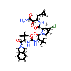 CC(C)(C)[C@H](NC(=O)N[C@H](C(=O)N1C[C@@H]2C(Cl)[C@@H]2[C@H]1C(=O)NC(CC1CC1)C(=O)C(N)=O)C(C)(C)C)C(=O)N1Cc2ccccc2C1